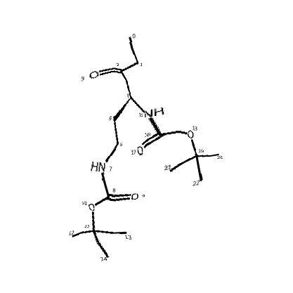 CCC(=O)[C@H](CCNC(=O)OC(C)(C)C)NC(=O)OC(C)(C)C